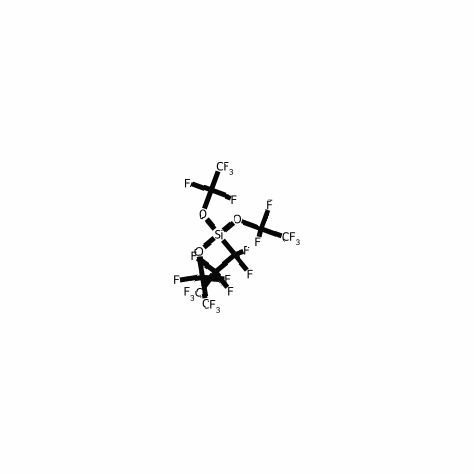 FC(F)(F)C(F)(F)O[Si](OC(F)(F)C(F)(F)F)(OC(F)(F)C(F)(F)F)C(F)(F)C(F)(F)C(F)(F)F